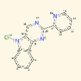 Cln1c2ccccc2c2nc(-c3ccccn3)ncc21